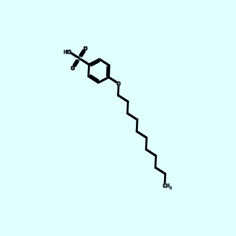 CCCCCCCCCCCOc1ccc(S(=O)(=O)O)cc1